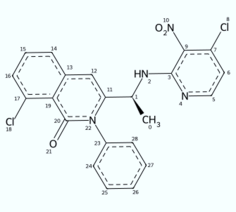 C[C@H](Nc1nccc(Cl)c1[N+](=O)[O-])c1cc2cccc(Cl)c2c(=O)n1-c1ccccc1